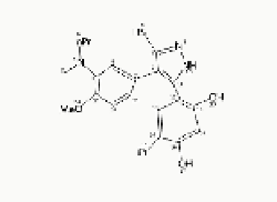 CCCN(C)c1cc(-c2c(S)n[nH]c2-c2cc(C(C)C)c(O)cc2O)ccc1OC